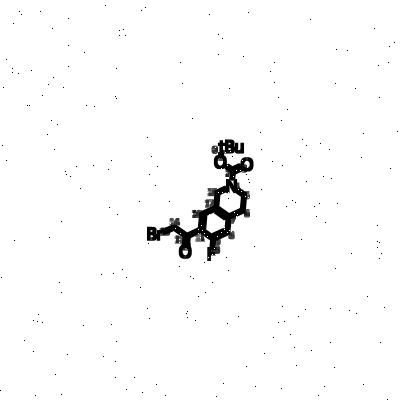 CC(C)(C)OC(=O)N1CCc2cc(F)c(C(=O)CBr)cc2C1